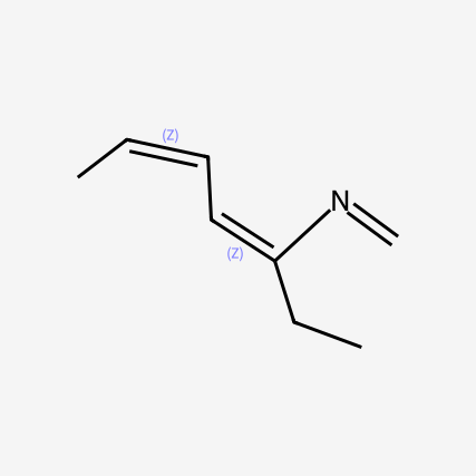 C=N/C(=C\C=C/C)CC